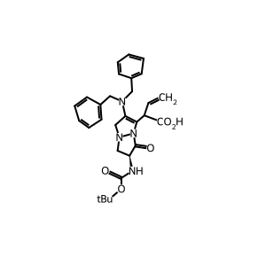 C=CC(C(=O)O)C1=C(N(Cc2ccccc2)Cc2ccccc2)CN2C[C@H](NC(=O)OC(C)(C)C)C(=O)N12